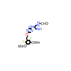 COc1cc(OC)c(F)c(CCOc2cnc(N/C(C=N)=C/NCC=O)cn2)c1F